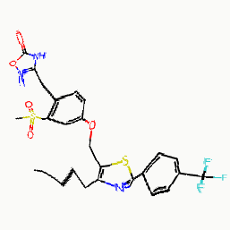 CCCCc1nc(-c2ccc(C(F)(F)F)cc2)sc1COc1ccc(-c2noc(=O)[nH]2)c(S(C)(=O)=O)c1